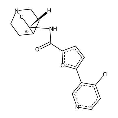 O=C(N[C@H]1CN2CCC1CC2)c1ccc(-c2cnccc2Cl)o1